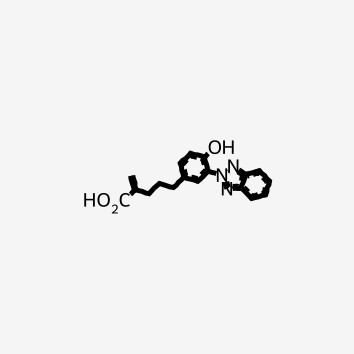 C=C(CCCc1ccc(O)c(-n2nc3ccccc3n2)c1)C(=O)O